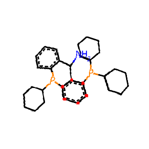 NC(c1ccccc1P(C1CCCCC1)C1CCCCC1)c1ccccc1P(C1CCCCC1)C1CCCCC1